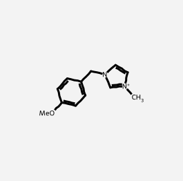 COc1ccc(Cn2cc[n+](C)c2)cc1